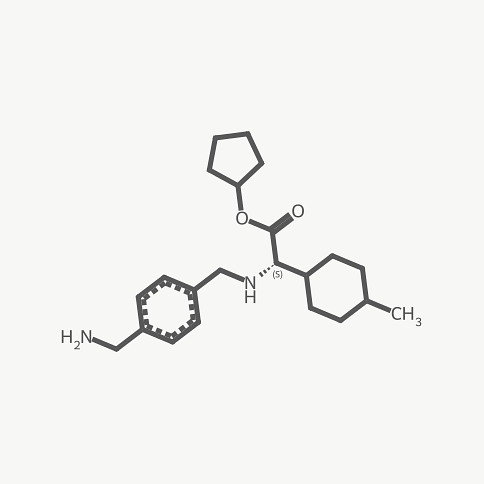 CC1CCC([C@H](NCc2ccc(CN)cc2)C(=O)OC2CCCC2)CC1